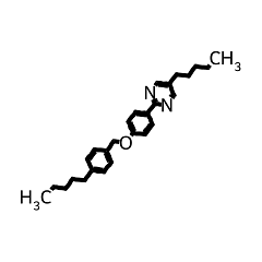 CCCCCc1ccc(COc2ccc(-c3ncc(CCCCC)cn3)cc2)cc1